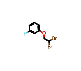 Fc1cccc(OCC(Br)Br)c1